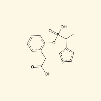 CC(c1ccsc1)P(=O)(O)Oc1ccccc1CC(=O)O